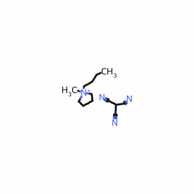 CCCC[N+]1(C)CCCC1.N#CC(C#N)C#N